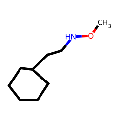 CONCCC1CCCCC1